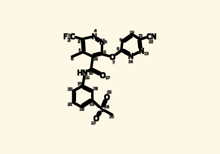 Cc1c(C(F)(F)F)nnc(Oc2ccc(C#N)nn2)c1C(=O)Nc1cccc(S(C)(=O)=O)c1